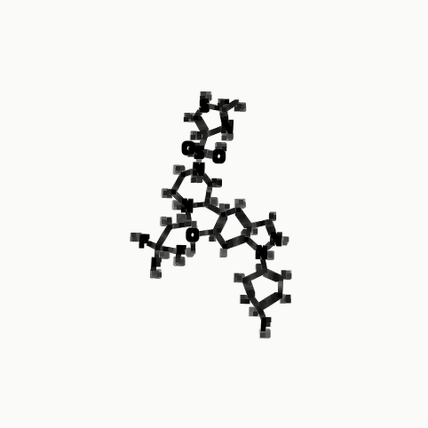 COc1cc2c(cnn2-c2ccc(F)cc2)cc1C1CN(S(=O)(=O)c2csc(C)n2)CCN1CCC(F)(F)F